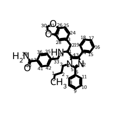 CCCCn1c(-c2ccccc2)nc(-c2ccccc2)c1C(Cc1ccc2c(c1)OCO2)NCc1ccc(C(N)=O)cc1